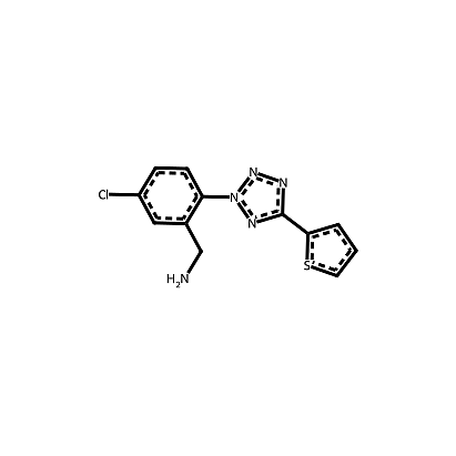 NCc1cc(Cl)ccc1-n1nnc(-c2cccs2)n1